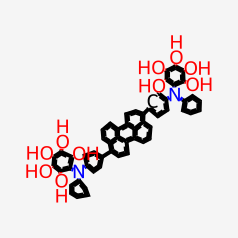 Oc1c(O)c(O)c(N(c2ccccc2)c2ccc(-c3ccc4c5cccc6c(-c7ccc(N(c8ccccc8)c8c(O)c(O)c(O)c(O)c8O)cc7)ccc(c7cccc3c74)c65)cc2)c(O)c1O